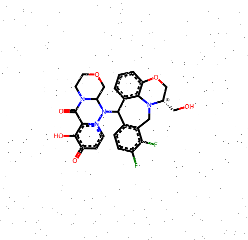 O=C1c2c(O)c(=O)ccn2N(C2c3ccc(F)c(F)c3CN3c4c(cccc42)OC[C@@H]3CO)C2COCCN12